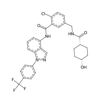 O=C(Nc1cccc2c1cnn2-c1ccc(C(F)(F)F)cc1)c1cc(CNC(=O)[C@H]2CC[C@@H](O)CC2)ccc1Cl